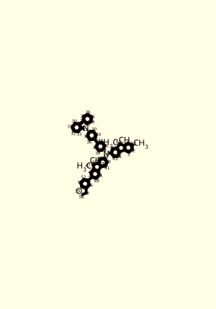 Cc1ccc2c(c1)C(C)(C)c1cc(N(c3ccc(-c4ccc(-n5c6ccccc6c6ccccc65)cc4)cc3)c3ccc4c(c3)C(C)(C)c3cc(-c5ccc6c(c5)CCO6)ccc3-4)ccc1-2